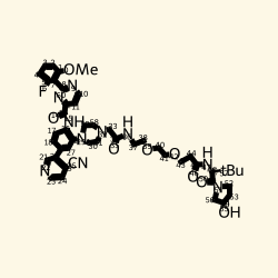 COc1cccc(F)c1-c1nccc(C(=O)Nc2ccc(-c3cnccc3C#N)cc2N2CCN(CC(=O)NCCOCCOCCC(=O)N[C@H](C(=O)N3CC[C@@H](O)C3)C(C)(C)C)CC2)n1